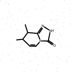 CC1C=Cn2c(n[nH]c2=O)C1C